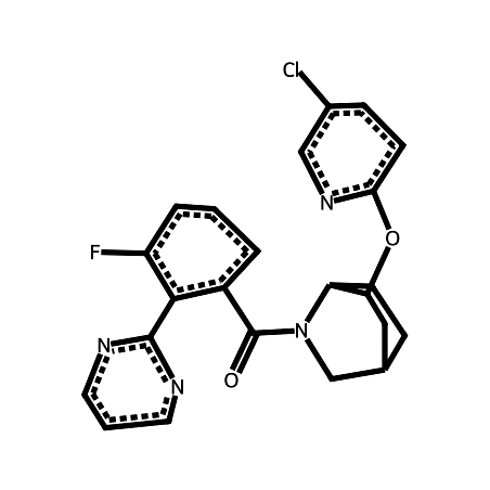 O=C(c1cccc(F)c1-c1ncccn1)N1CC2CCC1C(Oc1ccc(Cl)cn1)C2